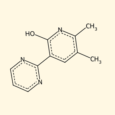 Cc1cc(-c2ncccn2)c(O)nc1C